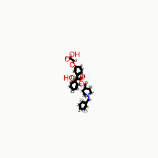 O=C(O)COc1cccc([C@](O)(C(=O)OCC2CCN(Cc3ccccc3)CC2)c2ccccc2)c1